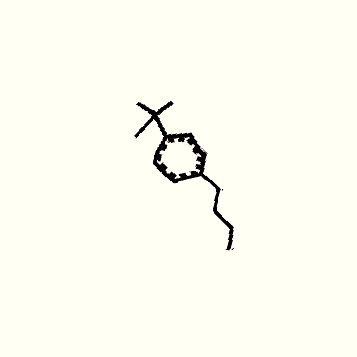 [CH2]CC[CH]c1ccc(C(C)(C)C)cc1